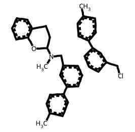 Cc1ccc(-c2cccc(CCl)c2)cc1.Cc1ccc(-c2cccc(CN(C)C3CCc4ccccc4O3)c2)cc1